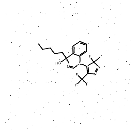 CCCCCC(C)(O)c1ccccc1N(C=O)C1=C(C(F)(F)F)N=NC1(C)F